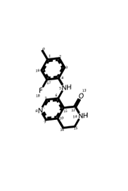 Cc1ccc(Nc2cncc3c2C(=O)NCC3)c(F)c1